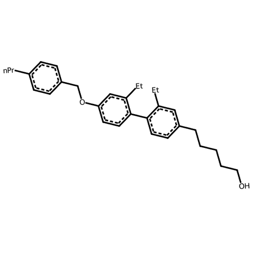 CCCc1ccc(COc2ccc(-c3ccc(CCCCCO)cc3CC)c(CC)c2)cc1